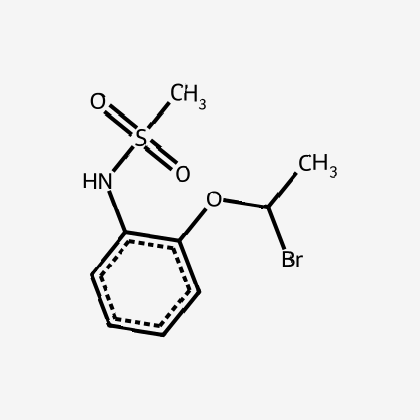 CC(Br)Oc1ccccc1NS(C)(=O)=O